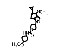 COc1c(C2CC2)ccc2c1cnn2C1CCN(C(=O)NC2CCC(OC)CC2)CC1